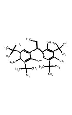 CCC(c1cc(C(C)(C)C)c(C)c(C(C)(C)C)c1O)c1cc(C(C)(C)C)c(C)c(C(C)(C)C)c1O